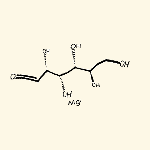 O=C[C@H](O)[C@@H](O)[C@H](O)[C@H](O)CO.[Mg]